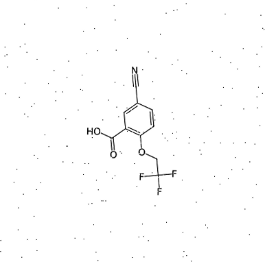 N#Cc1ccc(OCC(F)(F)F)c(C(=O)O)c1